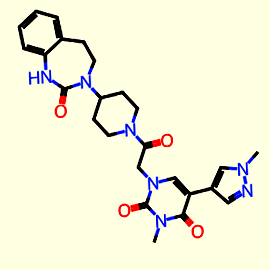 Cn1cc(-c2cn(CC(=O)N3CCC(N4CCc5ccccc5NC4=O)CC3)c(=O)n(C)c2=O)cn1